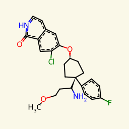 COCCC(N)[C@]1(c2ccc(F)cc2)CC[C@H](Oc2cc3cc[nH]c(=O)c3cc2Cl)CC1